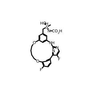 C[SH](O)(Cc1cc2cc(c1)OCCCCOc1cc(ccc1F)-c1nc(ncc1F)N2)=NC(=O)O